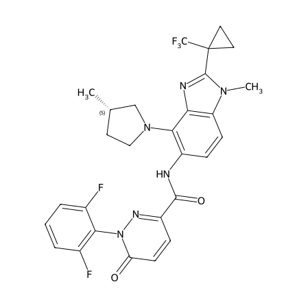 C[C@H]1CCN(c2c(NC(=O)c3ccc(=O)n(-c4c(F)cccc4F)n3)ccc3c2nc(C2(C(F)(F)F)CC2)n3C)C1